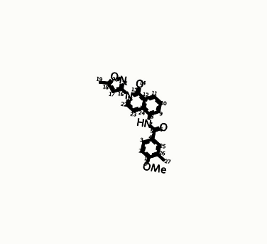 COc1ccc(C(=O)Nc2cccc3c(=O)n(-c4cc(C)on4)ccc23)cc1C